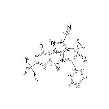 N#Cc1nn(-c2c(Cl)cc(C(F)(F)F)cc2Cl)c(NCc2ccccc2)c1C1(C=O)CC1